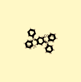 O=C(O)C1=C(N(c2ccccc2)c2ccccc2)CC(C(=O)O)C(N(c2ccccc2)c2ccccc2)C1